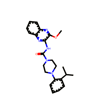 COc1nc2ccccc2nc1NC(=O)N1CCN(c2ccccc2C(C)C)CC1